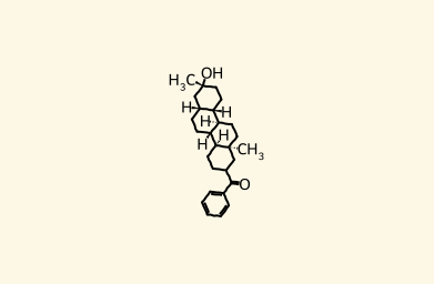 C[C@@]1(O)CC[C@H]2[C@H](CC[C@@H]3[C@@H]2CC[C@@]2(C)CC(C(=O)c4ccccc4)CC[C@@H]32)C1